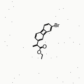 C=C(C(=O)OCC)c1ccc2c(c1)=c1cc(Br)ccc1=2